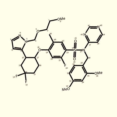 COCCOCn1nccc1C1CC(F)(F)CCC1Oc1cc(F)c(S(=O)(=O)N(Cc2ccc(OC)cc2OC)c2ccncn2)cc1C